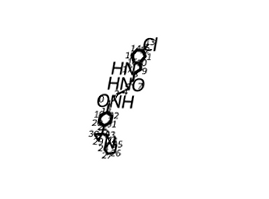 O=C(NCCNC(=O)c1cc2cc(Cl)ccc2[nH]1)c1ccc(C2(CN3CCCC3)CC2)cc1